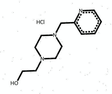 Cl.OCCN1CCN(Cc2ccccn2)CC1